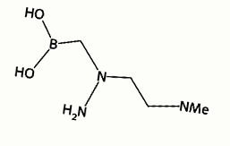 CNCCN(N)CB(O)O